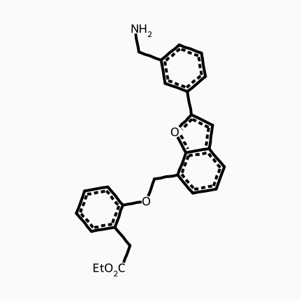 CCOC(=O)Cc1ccccc1OCc1cccc2cc(-c3cccc(CN)c3)oc12